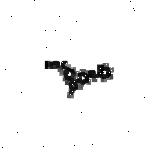 CCOC(=O)c1ccc(C2(c3ccc(OCc4ccccn4)cc3)CC(C)C2)cc1